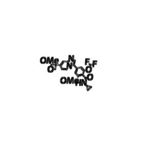 COc1cc(-c2cnc3cc(C4(OC)COC4)ccn23)cc(OC(F)F)c1C(=O)NC1CC1